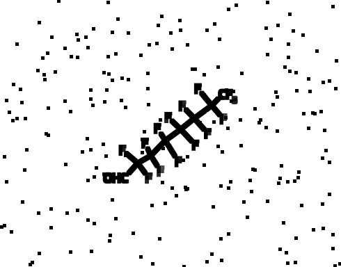 O=CC(F)(F)C(F)(F)C(F)(F)C(F)(F)C(F)(F)C(F)(F)C(F)(F)F